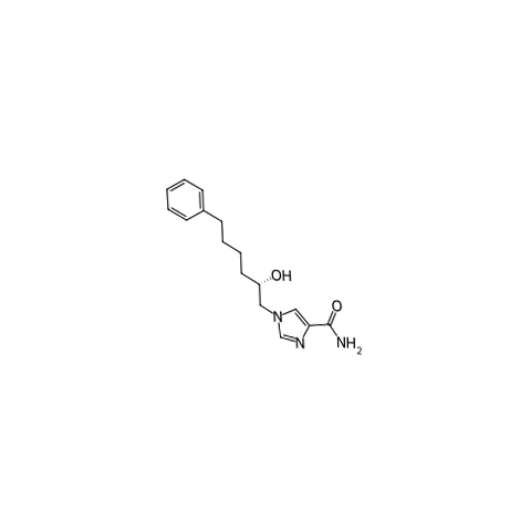 NC(=O)c1cn(C[C@@H](O)CCCCc2ccccc2)cn1